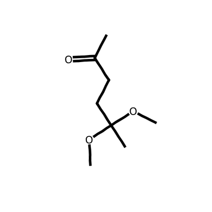 COC(C)(CCC(C)=O)OC